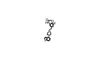 O=C1COc2c(F)cc(CCN3CCN(c4cccc5sccc45)CC3)cc2N1